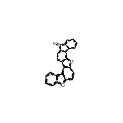 c1ccc2c(c1)[nH]c1ccc3c(oc4ccc5oc6ccccc6c5c43)c12